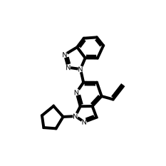 C=Cc1cc(-n2nnc3ccccc32)nc2c1cnn2C1CCCC1